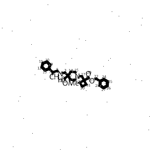 COCC1(CNC[C@@H](C)c2ccccc2)CCN(CC2(C(=O)OCc3ccccc3)CCC2)CC1